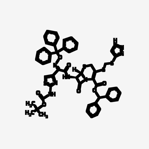 CC(C)(C)OC(=O)Nc1nc(/C(=N/OC(c2ccccc2)(c2ccccc2)c2ccccc2)C(=O)N[C@@H]2C(=O)N3C(C(=O)OC(c4ccccc4)c4ccccc4)=C(SCSc4c[nH]nn4)CS[C@@H]23)cs1